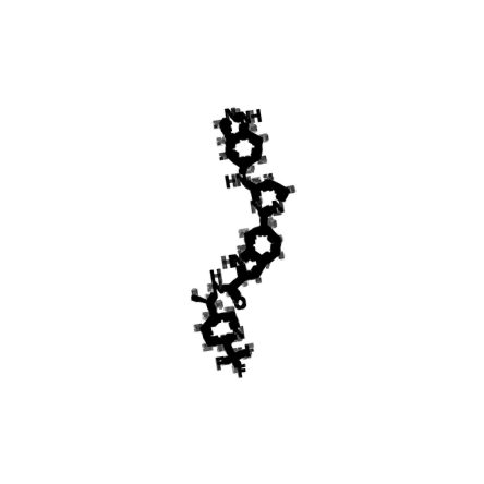 C[C@@H](NC(=O)c1cc2ccc(-c3nccc(Nc4ccc5[nH]ncc5c4)n3)cc2[nH]1)c1ccc(C(F)(F)F)nc1